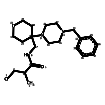 CC(CCl)C(=O)NCC1(N2CCN(Cc3ccccc3)CC2)CCOCC1